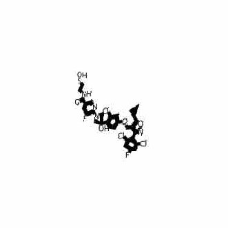 O=C(NCCSO)c1cnc(N2CC(O)(c3ccc(OCc4c(-c5c(Cl)cc(F)cc5Cl)noc4C4CC4)cc3Cl)C2)c(F)c1